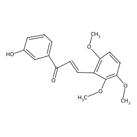 COc1ccc(OC)c(OC)c1/C=C/C(=O)c1cccc(O)c1